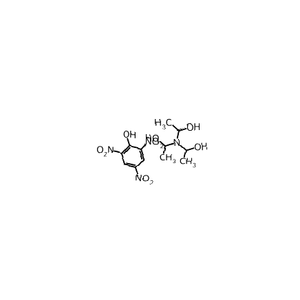 CC(O)N(C(C)O)C(C)O.O=[N+]([O-])c1cc([N+](=O)[O-])c(O)c([N+](=O)[O-])c1